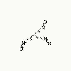 O=C=NCCSCC(CSCN=C=O)SCCN=C=O